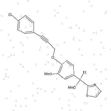 CCC(OC)(c1ccc(OCC#Cc2ccc(Cl)cc2)c(OC)c1)c1nccs1